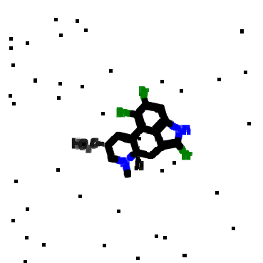 CN1C[C@H](C(=O)O)C=C2c3c(Br)c(Br)cc4[nH]c(Br)c(c34)C[C@H]21